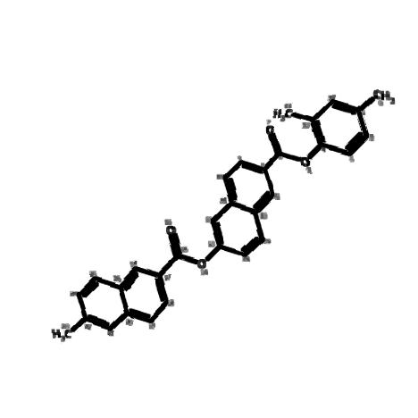 Cc1ccc(OC(=O)c2ccc3cc(OC(=O)c4ccc5cc(C)ccc5c4)ccc3c2)c(C)c1